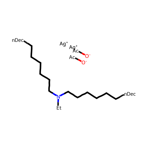 CC(=O)[O-].CC(=O)[O-].CCCCCCCCCCCCCCCCN(CC)CCCCCCCCCCCCCCCC.[Ag+].[Ag+]